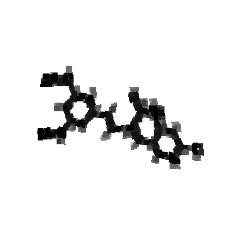 COc1cc(CCc2cc3cnc(Cl)cc3[nH]c2=O)cc(OC)c1